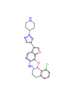 Nc1ncc2c(-c3cnn(C4CCNCC4)c3)coc2c1OC1CCCc2cccc(Cl)c21